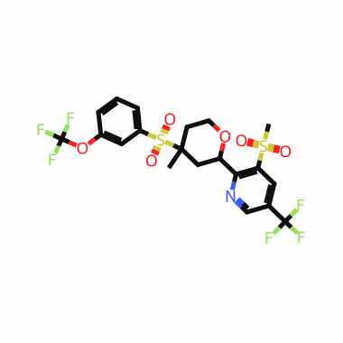 CC1(S(=O)(=O)c2cccc(OC(F)(F)F)c2)CCOC(c2ncc(C(F)(F)F)cc2S(C)(=O)=O)C1